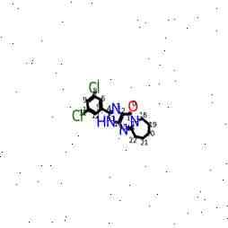 O=c1c2nc(-c3cc(Cl)cc(Cl)c3)[nH]c2nc2n1CCCCC2